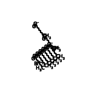 CCCCCCCCCC(=O)[O-].CCCCCCCCCC(=O)[O-].CCCCCCCCCC(=O)[O-].CCCCCCCCCC(=O)[O-].CCCCCCCCCC(=O)[O-].CCCCCCCCCC(=O)[O-].CCCCCCCCCC(=O)[O-].CCCCCCCCCC(=O)[O-].[B+3].[Bi+3]